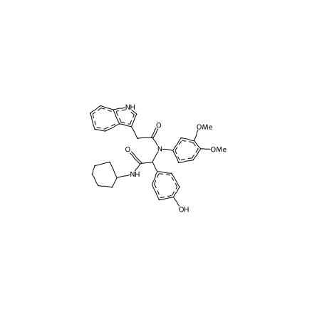 COc1ccc(N(C(=O)Cc2c[nH]c3ccccc23)C(C(=O)NC2CCCCC2)c2ccc(O)cc2)cc1OC